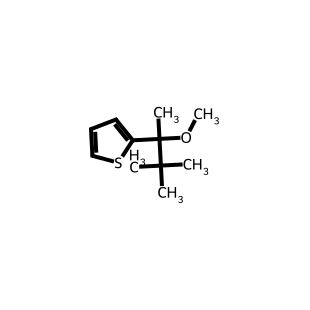 COC(C)(c1cccs1)C(C)(C)C